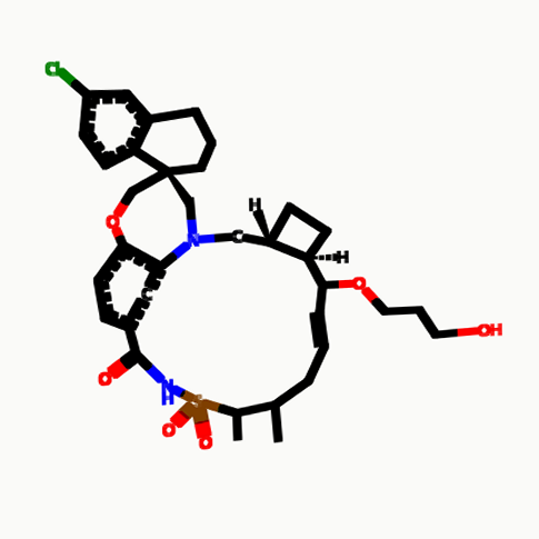 CC1C/C=C/C(OCCCO)[C@@H]2CC[C@H]2CN2C[C@@]3(CCCc4cc(Cl)ccc43)COc3ccc(cc32)C(=O)NS(=O)(=O)C1C